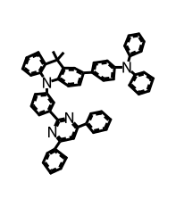 CC1(C)c2ccccc2N(c2cccc(-c3nc(-c4ccccc4)cc(-c4ccccc4)n3)c2)c2ccc(-c3ccc(N(c4ccccc4)c4ccccc4)cc3)cc21